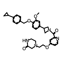 COc1cc(C2CN(C(=O)c3cc(OCCN4CCNC(=O)C4)ccn3)C2)ccc1OCc1ccc(C2CC2)cc1